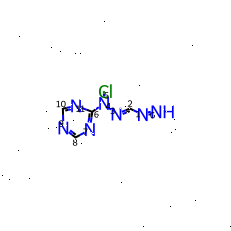 N=NC=NN(Cl)c1ncncn1